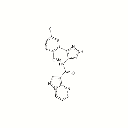 COc1ncc(Cl)cc1-c1n[nH]cc1NC(=O)c1cnn2cccnc12